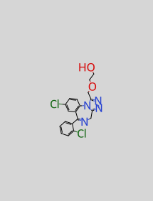 OCCOCc1nnc2n1-c1ccc(Cl)cc1C(c1ccccc1Cl)=NC2